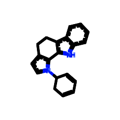 C1=CCC(n2ccc3c2-c2[nH]c4ccccc4c2CC3)C=C1